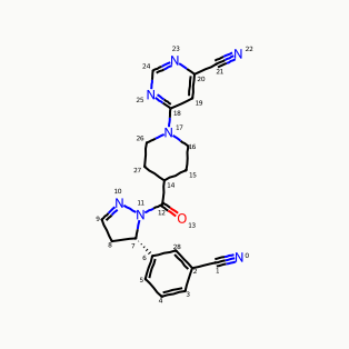 N#Cc1cccc([C@@H]2CC=NN2C(=O)C2CCN(c3cc(C#N)ncn3)CC2)c1